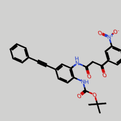 CC(C)(C)OC(=O)Nc1ccc(C#Cc2ccccc2)cc1NC(=O)CC(=O)c1cccc([N+](=O)[O-])c1